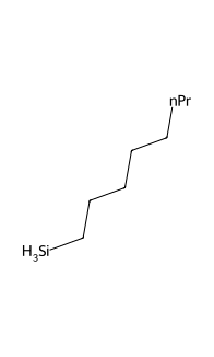 CCCCCCCC[SiH3]